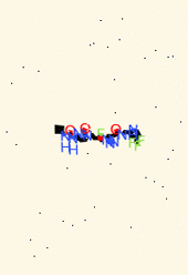 O=C(Nc1ccn(CCC(F)Cn2cc(C(=O)NCc3cc(C(F)(F)F)ccn3)nn2)c(=O)n1)NC1CCC1